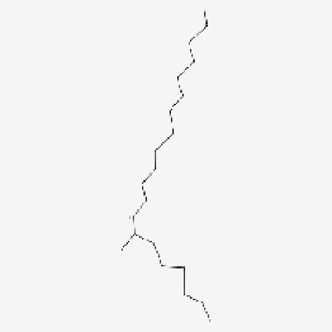 CCCCCCCCCCCC[C]C(C)CCCCCC